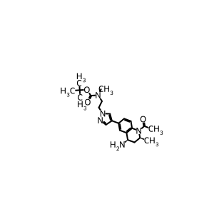 CC(=O)N1c2ccc(-c3cnn(CCN(C)C(=O)OC(C)(C)C)c3)cc2[C@H](N)C[C@@H]1C